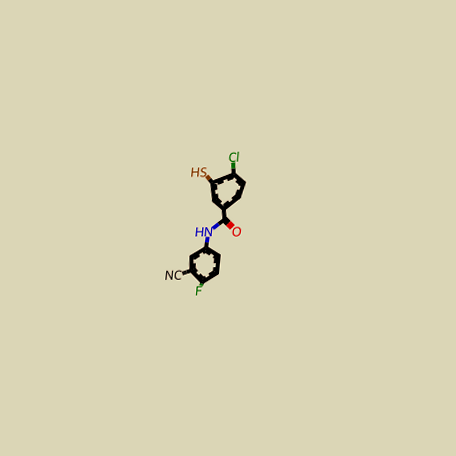 N#Cc1cc(NC(=O)c2ccc(Cl)c(S)c2)ccc1F